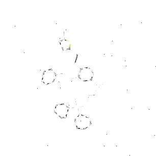 CN(CCO[Si](c1ccccc1)(c1ccccc1)C(C)(C)C)c1ccc(C=Cc2ccc(C=O)s2)c(OCc2ccccc2)c1